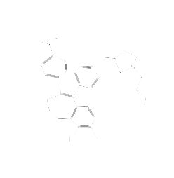 CCC(c1ccc(C2=C(c3ccc(OC4CCN(CCCF)C4)cc3)c3ccc(C)c(P)c3CCC2)cc1)C(F)(F)F